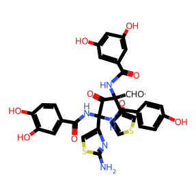 Nc1nc(C(NC(=O)c2ccc(O)cc2)(NC(=O)c2ccc(O)c(O)c2)C(=O)C([C]=O)(NC(=O)c2cc(O)cc(O)c2)c2ccsc2)cs1